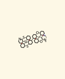 C=NC1=C(/C=C\C)C2(c3ccccc3O1)c1ccccc1Oc1ccc(-c3ccc4c(c3)[Si]3(c5ccccc5S4)c4ccccc4Sc4ncccc43)cc12